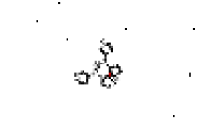 c1cc(P([N]P(c2ccsc2)c2ccsc2)c2ccsc2)cs1